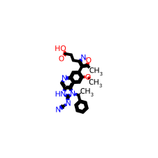 COc1cc2c(cc1-c1c(CCC(=O)O)noc1C)ncc1[nH]/c(=N\C#N)n([C@H](C)c3ccccc3)c12